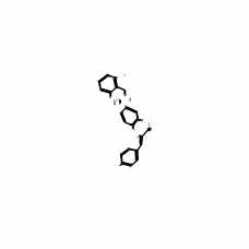 O=C1Nc2cc(S(=O)(=O)Cc3c(Br)cccc3Br)ccc2SC1=Cc1ccc(C(=O)O)cc1